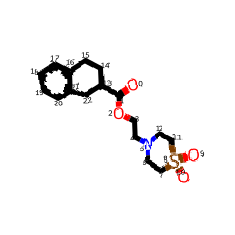 O=C(OCCN1CCS(=O)(=O)CC1)C1CCc2ccccc2C1